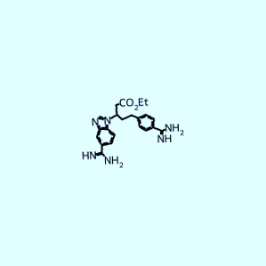 CCOC(=O)CC(CCc1ccc(C(=N)N)cc1)n1cnc2cc(C(=N)N)ccc21